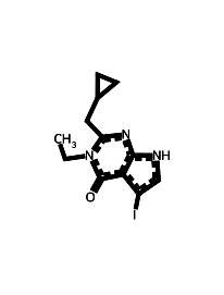 CCn1c(CC2CC2)nc2[nH]cc(I)c2c1=O